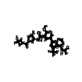 COc1ncc(-c2cc(C(F)(F)F)c3c(NC(C)=O)ncnn23)cc1C(=O)N[C@@H]1CN(C(=O)C2CC(F)(F)C2)C[C@@H]1F